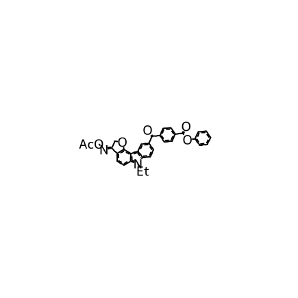 CCn1c2ccc(C(=O)c3ccc(C(=O)Oc4ccccc4)cc3)cc2c2c3c(ccc21)/C(=N/OC(C)=O)CO3